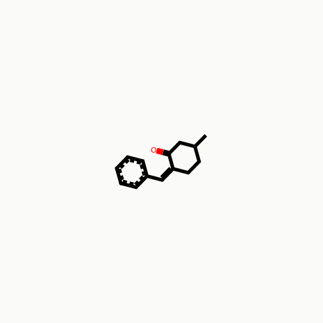 CC1CCC(=Cc2ccccc2)C(=O)C1